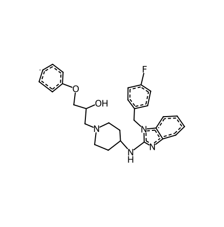 OC(COc1cc[c]cc1)CN1CCC(Nc2nc3ccccc3n2Cc2ccc(F)cc2)CC1